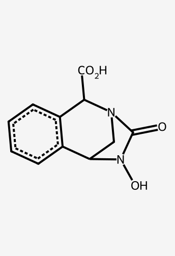 O=C(O)C1c2ccccc2C2CN1C(=O)N2O